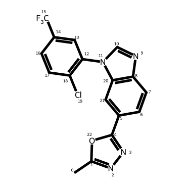 Cc1nnc(-c2ccc3ncn(-c4cc(C(F)(F)F)ccc4Cl)c3c2)o1